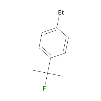 CCc1ccc(C(C)(C)F)cc1